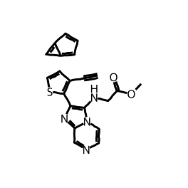 C#Cc1ccsc1-c1nc2cnccn2c1NCC(=O)OC.c1cc2cc-2c1